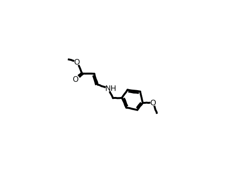 COC(=O)C=CNCc1ccc(OC)cc1